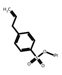 C=CCc1ccc(S(=O)(=O)OC(C)C)cc1